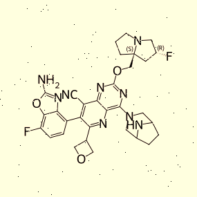 N#Cc1c(-c2ccc(F)c3oc(N)nc23)c(C2COC2)nc2c(N3CC4CCC(C3)N4)nc(OC[C@@]34CCCN3C[C@H](F)C4)nc12